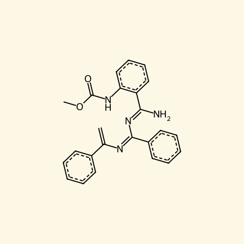 C=C(/N=C(\N=C(/N)c1ccccc1NC(=O)OC)c1ccccc1)c1ccccc1